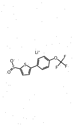 O=S([O-])c1ccc(-c2ccc(OC(F)(F)F)cc2)s1.[Li+]